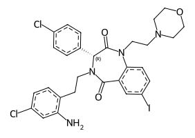 Nc1cc(Cl)ccc1CCN1C(=O)c2cc(I)ccc2N(CCN2CCOCC2)C(=O)[C@H]1c1ccc(Cl)cc1